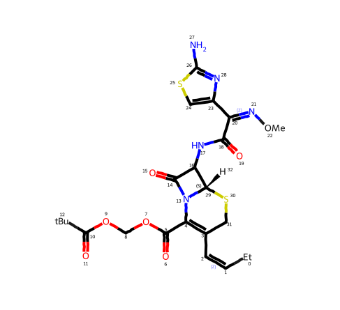 CC/C=C\C1=C(C(=O)OCOC(=O)C(C)(C)C)N2C(=O)C(NC(=O)/C(=N\OC)c3csc(N)n3)[C@@H]2SC1